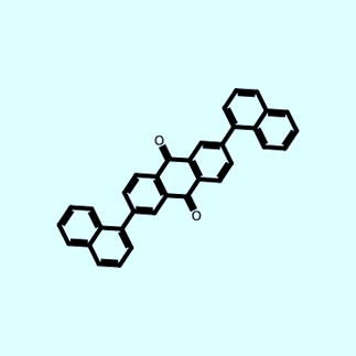 O=C1c2ccc(-c3cccc4ccccc34)cc2C(=O)c2ccc(-c3cccc4ccccc34)cc21